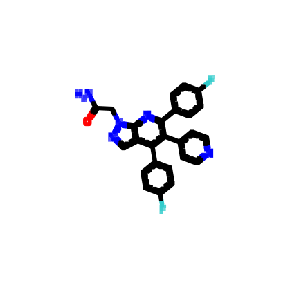 NC(=O)Cn1ncc2c(-c3ccc(F)cc3)c(-c3ccncc3)c(-c3ccc(F)cc3)nc21